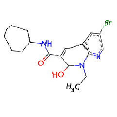 CCN1c2ncc(Br)cc2C=C(C(=O)NC2CCCCC2)C1O